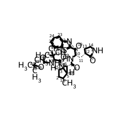 C[C@H]1C[C@@H]2C[C@H]1[C@@H](C(=O)N[C@@H](C[C@@H]1CCNC1=O)C(=O)c1nc3ccccc3s1)N2C(=O)[C@@H](NC(=O)OC(C)(C)C)C(C)(C)C